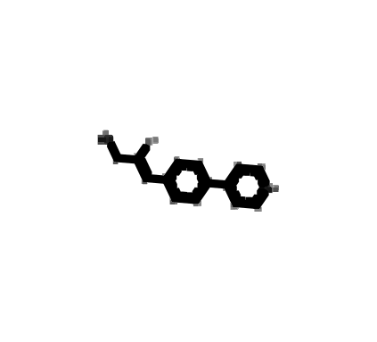 OCC(F)=Cc1ccc(-c2ccncc2)cc1